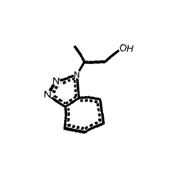 CC(CO)n1nnc2ccccc21